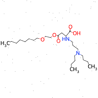 CCCCCCCCOCCOC(=O)CC(NCCCN(CCCC)CCCC)C(=O)O